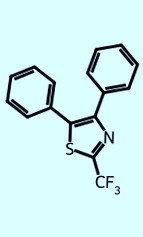 FC(F)(F)c1nc(-c2ccccc2)c(-c2ccccc2)s1